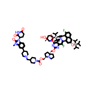 CC(C)[Si](C#Cc1c(F)ccc2cc(O[Si](C(C)C)(C(C)C)C(C)C)cc(-c3ncc4c(N5CCC[C@@](C)(O)C5)nc(OC[C@]56CCCN5[C@@H](COC(=O)N5CCC(CN7CCC(c8ccc9c(c8)n(C)c(=O)n9C8CCC(=O)NC8=O)CC7)CC5)CC6)nc4c3F)c12)(C(C)C)C(C)C